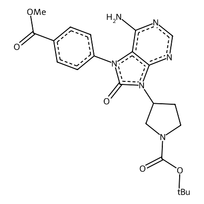 COC(=O)c1ccc(-n2c(=O)n(C3CCN(C(=O)OC(C)(C)C)C3)c3ncnc(N)c32)cc1